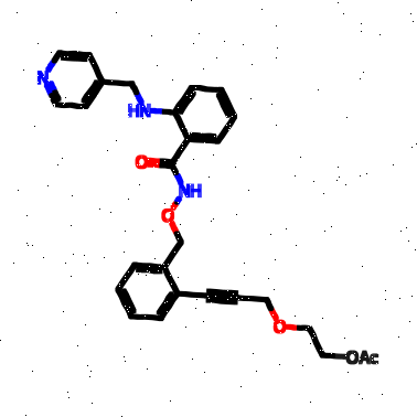 CC(=O)OCCOCC#Cc1ccccc1CONC(=O)c1ccccc1NCc1ccncc1